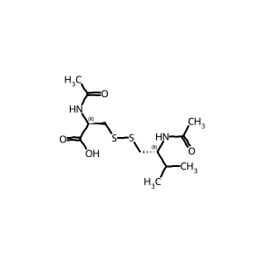 CC(=O)N[C@@H](CSSC[C@H](NC(C)=O)C(C)C)C(=O)O